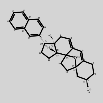 C[C@]12CC=C3C=C4CC[C@@H](O)C[C@]45CCC3(O5)[C@@H]1CC[C@@H]2c1ccc2ccccc2c1